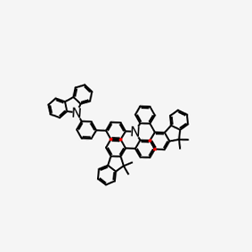 CC1(C)c2ccccc2-c2c(-c3ccccc3N(c3ccc(-c4cccc(-n5c6ccccc6c6ccccc65)c4)cc3)c3ccccc3-c3cccc4c3C(C)(C)c3ccccc3-4)cccc21